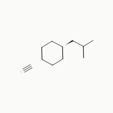 CC(C)C[C@H]1CC[C@H](C#N)CC1